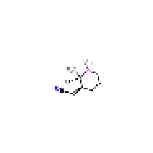 CP1CCCC(=CC#N)C1(C)C